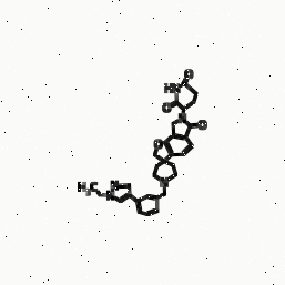 CCn1cc(-c2cccc(CN3CCC4(CC3)COc3c4ccc4c3CN(C3CCC(=O)NC3=O)C4=O)c2)cn1